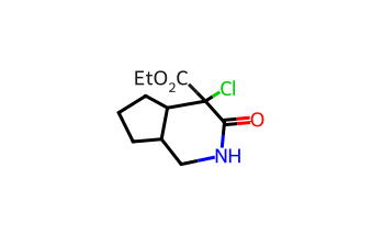 CCOC(=O)C1(Cl)C(=O)NCC2CCCC21